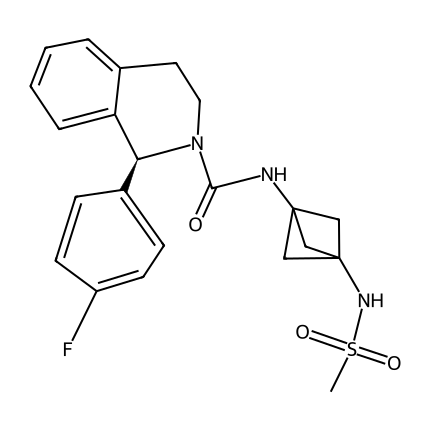 CS(=O)(=O)NC12CC(NC(=O)N3CCc4ccccc4[C@@H]3c3ccc(F)cc3)(C1)C2